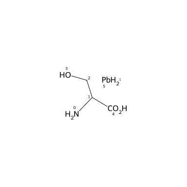 NC(CO)C(=O)O.[PbH2]